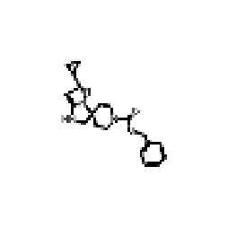 O=C(OCc1ccccc1)N1CCC2(CC1)CNc1cc(C3CC3)nn12